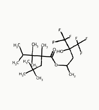 CC(CC(O)(C(F)(F)F)C(F)(F)F)OC(=O)C(C)(CC(C)(C)C)C(C)(C)C(C)C